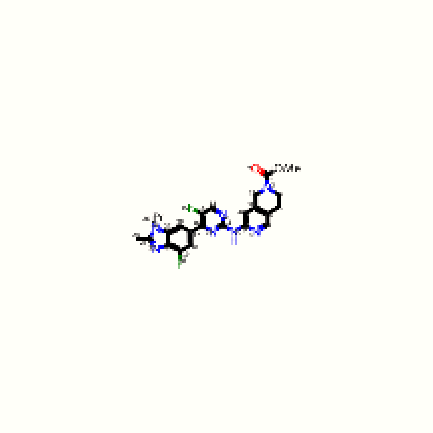 COC(=O)N1CCc2cnc(Nc3ncc(F)c(-c4cc(F)c5nc(C)n(C(C)C)c5c4)n3)cc2C1